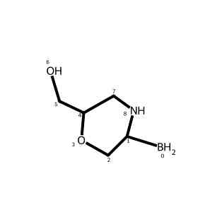 BC1COC(CO)CN1